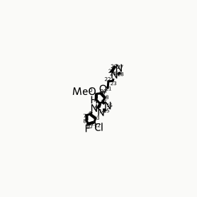 COc1cc2c(Nc3ccc(F)c(Cl)c3)ncnc2cc1OCCCn1ccnc1